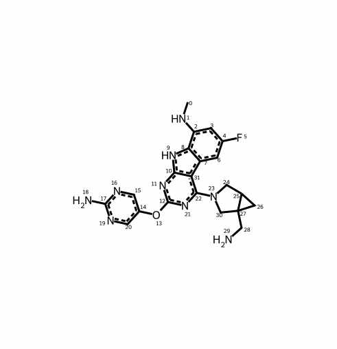 CNc1cc(F)cc2c1[nH]c1nc(Oc3cnc(N)nc3)nc(N3CC4CC4(CN)C3)c12